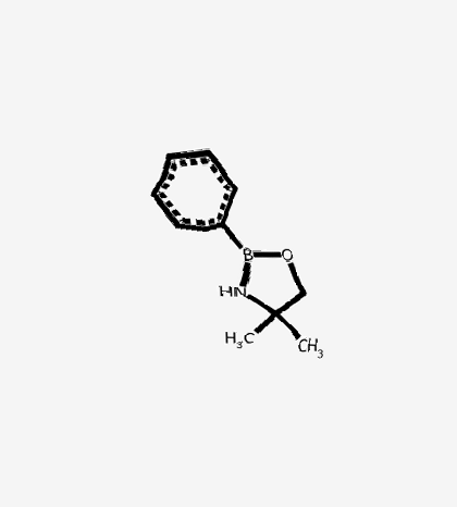 CC1(C)COB(c2ccccc2)N1